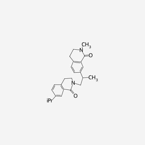 CC(C)c1ccc2c(c1)C(=O)N(CC(C)c1ccc3c(c1)C(=O)N(C)CC3)CC2